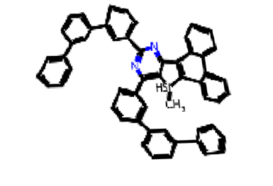 C[SiH]1c2c(-c3cccc(-c4cccc(-c5ccccc5)c4)c3)nc(-c3cccc(-c4cccc(-c5ccccc5)c4)c3)nc2-c2c1c1ccccc1c1ccccc21